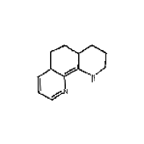 C1=CC2CCC3CCCNC3=C2N=C1